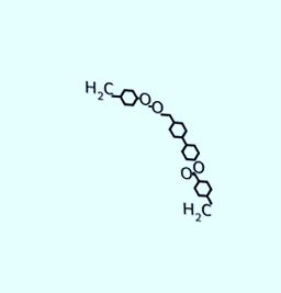 C=CC1CCC(OCOCCC2CCC(C3CCC(OC(=O)C4CCC(C=C)CC4)CC3)CC2)CC1